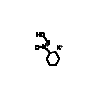 [K+].[O-][N+](=NO)C1CCCCC1